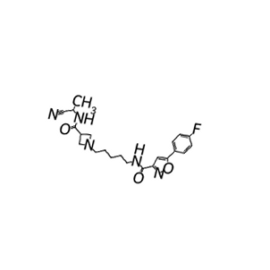 CC(C#N)NC(=O)C1CN(CCCCCNC(=O)c2cc(-c3ccc(F)cc3)on2)C1